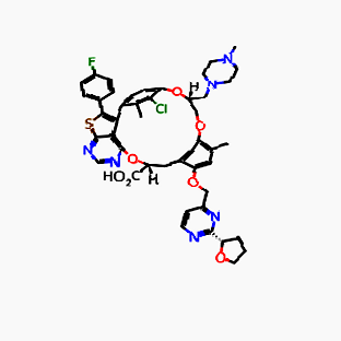 Cc1cc(OCc2ccnc([C@@H]3CCCO3)n2)c2cc1OC[C@@H](CN1CCN(C)CC1)Oc1ccc(c(C)c1Cl)-c1c(-c3ccc(F)cc3)sc3ncnc(c13)O[C@@H](C(=O)O)C2